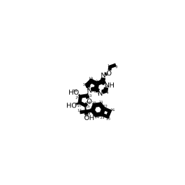 CCON=c1[nH]cnc2c1ccn2[C@@H]1O[C@@H](C(C)(O)c2ccc3c(c2)CC3)[C@@H](O)[C@H]1O